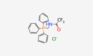 O=C(NC[P+](c1ccccc1)(c1ccccc1)c1ccccc1)C(F)(F)F.[Cl-]